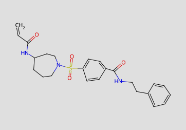 C=CC(=O)NC1CCCN(S(=O)(=O)c2ccc(C(=O)NCCc3ccccc3)cc2)CC1